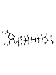 Nc1ccc(OC(F)(F)C(F)(F)C(F)(F)C(F)(F)C(F)(F)C(F)(F)C(F)(F)C(F)(F)C(F)C(F)C(F)F)c(N)c1